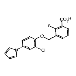 O=C(O)c1cccc(COc2ccc(-n3cccc3)cc2Cl)c1F